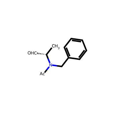 CC(=O)N(Cc1ccccc1)[C@@H](C)C=O